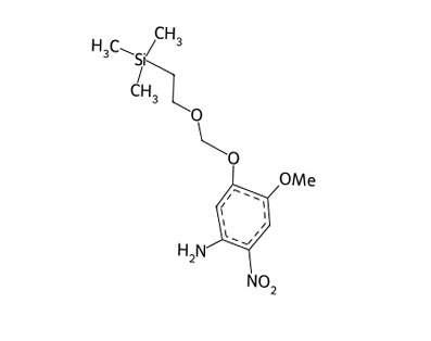 COc1cc([N+](=O)[O-])c(N)cc1OCOCC[Si](C)(C)C